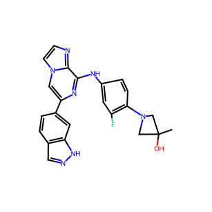 CC1(O)CN(c2ccc(Nc3nc(-c4ccc5cn[nH]c5c4)cn4ccnc34)cc2F)C1